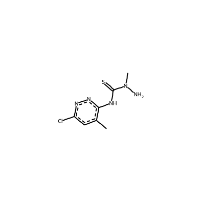 Cc1cc(Cl)nnc1NC(=S)N(C)N